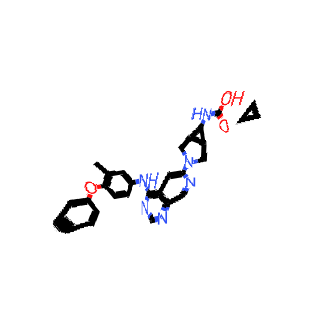 C1CC1.Cc1cc(Nc2ncnc3cnc(N4CC5C(C4)C5NC(=O)O)cc23)ccc1Oc1ccccc1